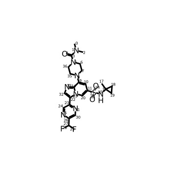 CN(C)C(=O)N1CCN(c2cc(S(=O)(=O)NC3(C)CC3)cn3c(-c4cnc(C(F)F)cn4)cnc23)CC1